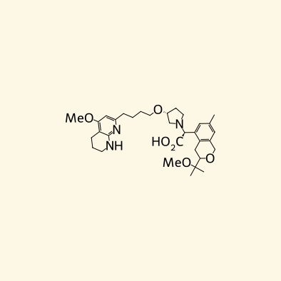 COc1cc(CCCCO[C@@H]2CCN([C@H](C(=O)O)c3cc(C)cc4c3CC(C(C)(C)OC)OC4)C2)nc2c1CCCN2